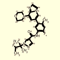 Cc1cc(F)c(NC(=O)c2cnn(C(C)(C)C(C)F)c2)cc1-c1cc(N2CCOCC2)c2nccn2c1